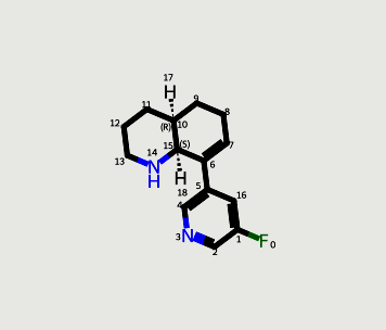 Fc1cncc(C2=CCC[C@@H]3CCCN[C@H]23)c1